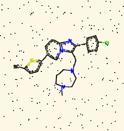 CN1CCCN(Cc2c(-c3ccc(Cl)cc3)nc3ccc(-c4ccc(C#N)s4)cn23)CC1